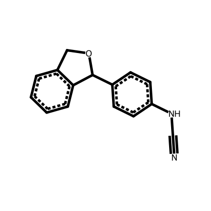 N#CNc1ccc(C2OCc3ccccc32)cc1